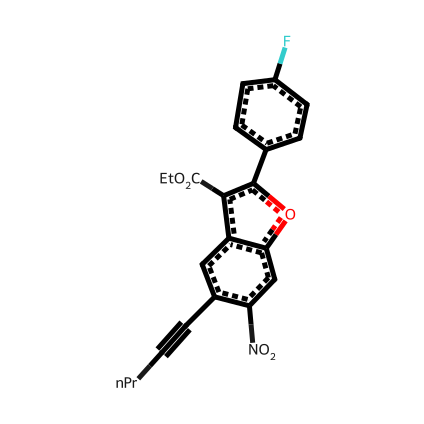 CCCC#Cc1cc2c(C(=O)OCC)c(-c3ccc(F)cc3)oc2cc1[N+](=O)[O-]